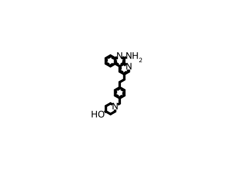 Nc1nc2ccccc2c2cc(CCc3ccc(CN4CCC(O)CC4)cc3)cnc12